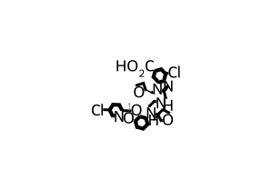 C[C@@]1(c2ccc(Cl)cn2)Oc2cccc(N3CCN(Cc4nc5c(Cl)cc(C(=O)O)cc5n4C[C@@H]4CCO4)[C@@H]4COC[C@@H]43)c2O1